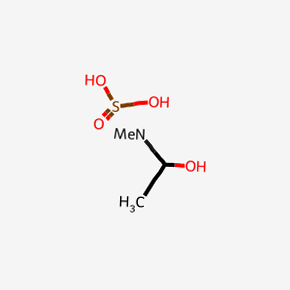 CNC(C)O.O=S(O)O